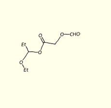 CCOC(CC)OC(=O)CO[C]=O